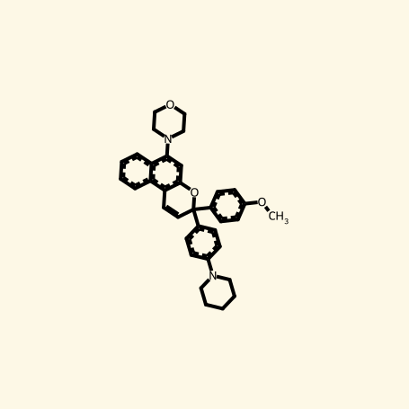 COc1ccc(C2(c3ccc(N4CCCCC4)cc3)C=Cc3c(cc(N4CCOCC4)c4ccccc34)O2)cc1